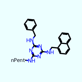 CCCCCNc1nc(NCc2ccccc2)nc(NCc2cccc3ccccc23)n1